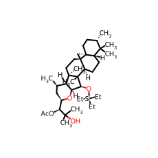 CC[Si](CC)(CC)O[C@H]1[C@H]2O[C@@H]([C@H](OC(C)=O)C(C)(C)O)C[C@@H](C)[C@@H]2[C@@]2(C)CC[C@@]34C[C@@]35CC[C@H](C)C(C)(C)[C@@H]5CC[C@H]4[C@]12C